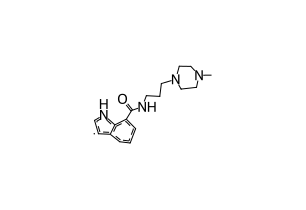 CN1CCN(CCCNC(=O)c2cccc3[c]c[nH]c23)CC1